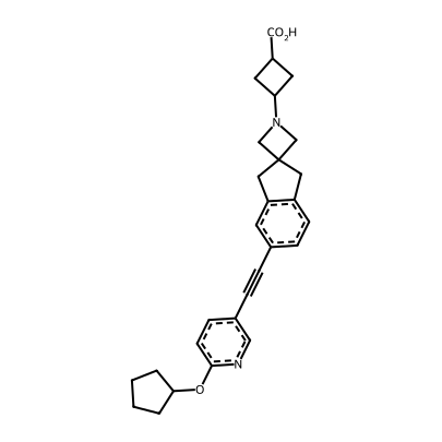 O=C(O)C1CC(N2CC3(Cc4ccc(C#Cc5ccc(OC6CCCC6)nc5)cc4C3)C2)C1